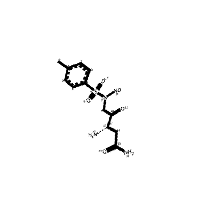 Cc1ccc(S(=O)(=O)N(CC(=O)[C@@H](N)CC(N)=O)N=O)cc1